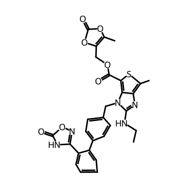 CCNc1nc2c(C)sc(C(=O)OCc3oc(=O)oc3C)c2n1Cc1ccc(-c2ccccc2-c2noc(=O)[nH]2)cc1